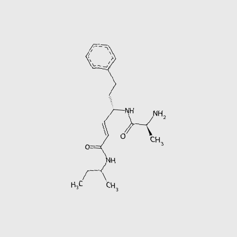 CCC(C)NC(=O)/C=C/[C@H](CCc1ccccc1)NC(=O)[C@H](C)N